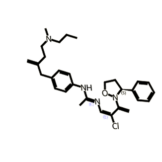 C=C(CCN(C)CCC)Cc1ccc(N/C(C)=N/C=C(/Cl)C(=C)N2OCC[C@H]2c2ccccc2)cc1